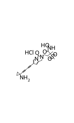 CC(CCN1Cc2cc(C#CC#CC3(N)CC3)cn2C1=O)(C(=O)NO)S(C)(=O)=O.Cl